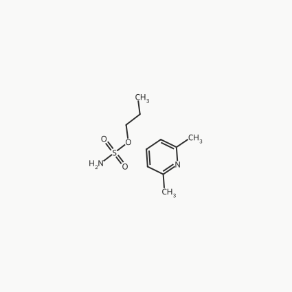 CCCOS(N)(=O)=O.Cc1cccc(C)n1